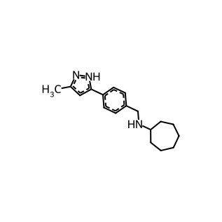 Cc1cc(-c2ccc(CNC3CCCCCC3)cc2)[nH]n1